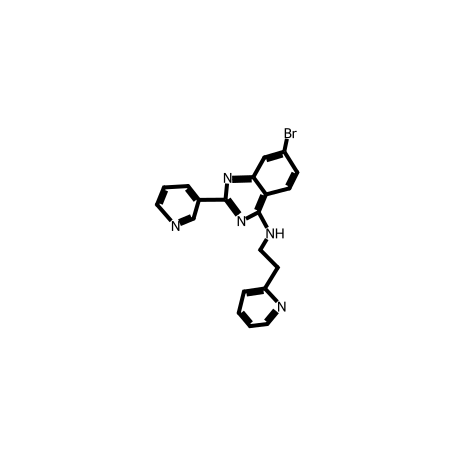 Brc1ccc2c(NCCc3ccccn3)nc(-c3cccnc3)nc2c1